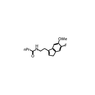 CCCC(=O)NCCC1=CCc2cc(F)c(OC)cc21